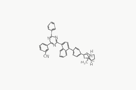 C[C@@]12CC3(c4ccc(-c5ccc(-c6nc(-c7ccccc7)nc(-c7cccc(C#N)c7)n6)c6ccccc56)cc4)C[C@H]1CC[C@H]2C3